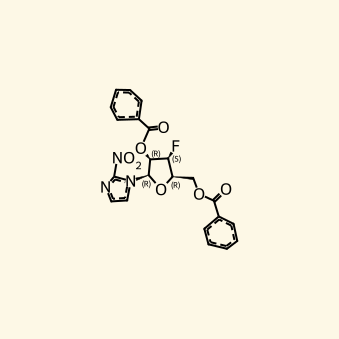 O=C(OC[C@H]1O[C@@H](n2ccnc2[N+](=O)[O-])[C@@H](OC(=O)c2ccccc2)[C@H]1F)c1ccccc1